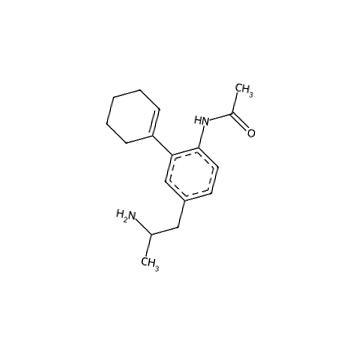 CC(=O)Nc1ccc(CC(C)N)cc1C1=CCCCC1